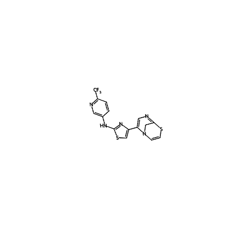 FC(F)(F)c1ccc(Nc2nc(C3=CN=C4CN3C=CS4)cs2)cn1